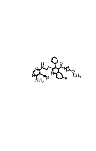 COC1CN(C(=O)c2c(-c3ccccc3)c(CCNc3ncnc(N)c3C#N)nc3ccc(F)cc23)C1